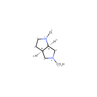 CCN1CC[C@@H]2CN(C(=O)O)C[C@@H]21